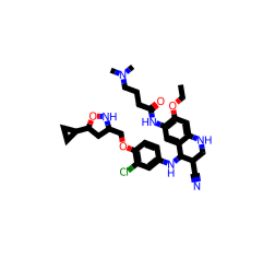 CCOc1cc2c(cc1NC(=O)CCCN(C)C)C(Nc1ccc(OCC3CC(C4CC4)ON3)c(Cl)c1)C(C#N)CN2